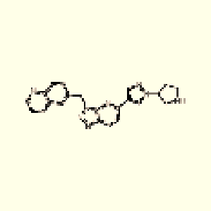 c1cnc2ccc(Cn3nnc4ccc(-c5cnn(C6CCNC6)c5)nc43)cc2c1